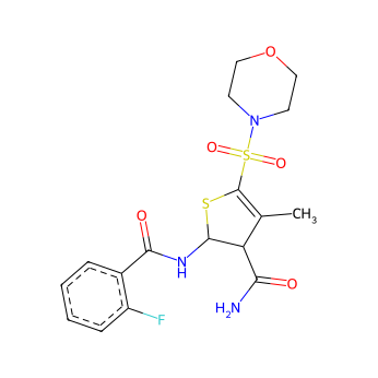 CC1=C(S(=O)(=O)N2CCOCC2)SC(NC(=O)c2ccccc2F)C1C(N)=O